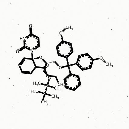 CCOC(=O)C1C=CC=C[C@]1(O[C@H](COC(c1ccccc1)(c1ccc(OC)cc1)c1ccc(OC)cc1)CO[Si](C)(C)C(C)(C)C)n1ccc(=O)[nH]c1=O